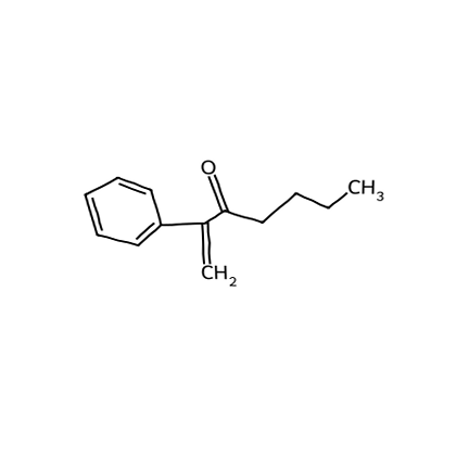 C=C(C(=O)CCCC)c1ccccc1